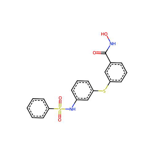 O=C(NO)c1cccc(Sc2cccc(NS(=O)(=O)c3ccccc3)c2)c1